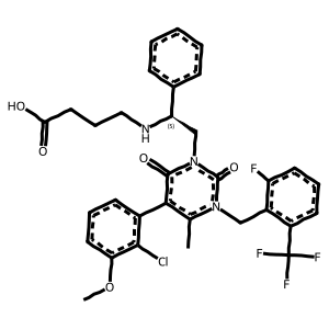 COc1cccc(-c2c(C)n(Cc3c(F)cccc3C(F)(F)F)c(=O)n(C[C@@H](NCCCC(=O)O)c3ccccc3)c2=O)c1Cl